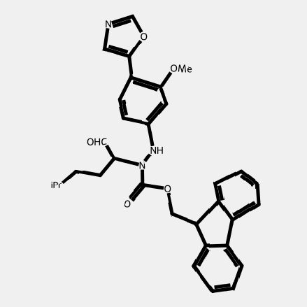 COc1cc(NN(C(=O)OCC2c3ccccc3-c3ccccc32)C(C=O)CCC(C)C)ccc1-c1cnco1